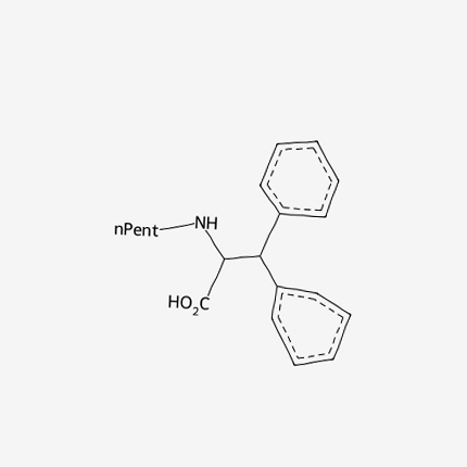 CCCCCNC(C(=O)O)C(c1ccccc1)c1ccccc1